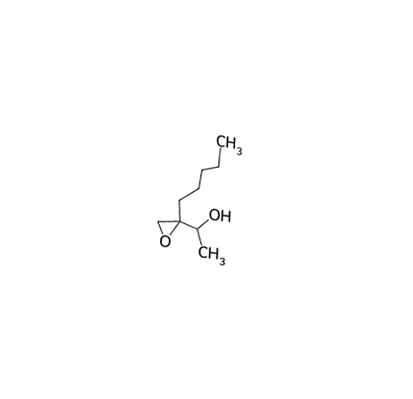 CCCCCC1(C(C)O)CO1